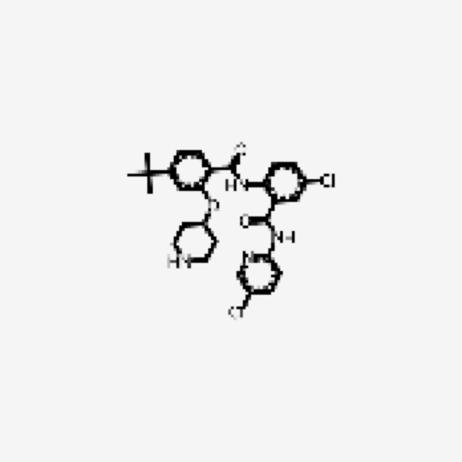 CC(C)(C)c1ccc(C(=O)Nc2ccc(Cl)cc2C(=O)Nc2ccc(Cl)cn2)c(OC2CCNCC2)c1